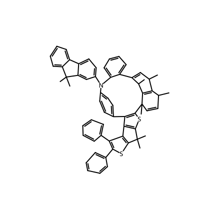 CC1C=CC2(C)C3=C1C(C)C=C(c1ccccc1N(c1ccc4c(c1)C(C)(C)c1ccccc1-4)c1ccc(cc1)-c1c2sc2c1-c1c(sc(-c4ccccc4)c1-c1ccccc1)C2(C)C)C3C